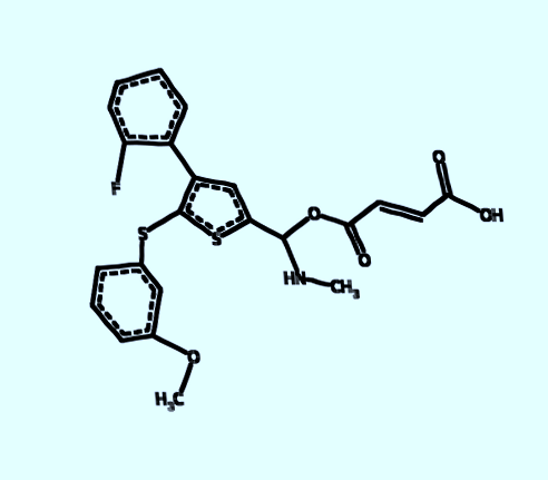 CNC(OC(=O)/C=C/C(=O)O)c1cc(-c2ccccc2F)c(Sc2cccc(OC)c2)s1